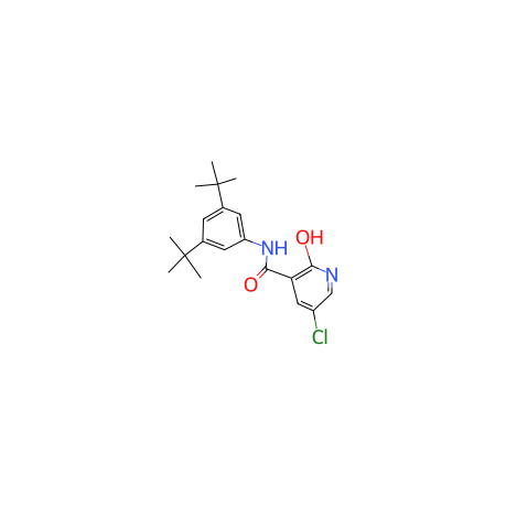 CC(C)(C)c1cc(NC(=O)c2cc(Cl)cnc2O)cc(C(C)(C)C)c1